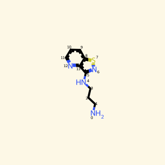 NCCCNc1nsc2cccnc12